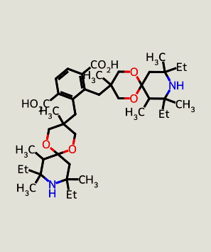 CCC1(C)CC2(OCC(C)(Cc3c(C(=O)O)ccc(C(=O)O)c3CC3(C)COC4(CC(C)(CC)NC(C)(CC)C4C)OC3)CO2)C(C)C(C)(CC)N1